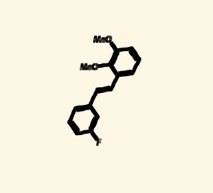 COc1cccc(C=Cc2cccc(F)c2)c1OC